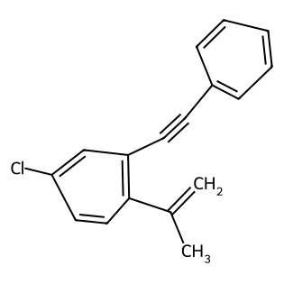 C=C(C)c1ccc(Cl)cc1C#Cc1ccccc1